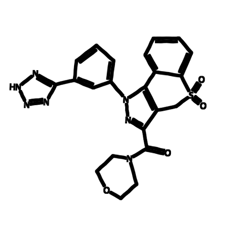 O=C(c1nn(-c2cccc(-c3nn[nH]n3)c2)c2c1CS(=O)(=O)c1ccccc1-2)N1CCOCC1